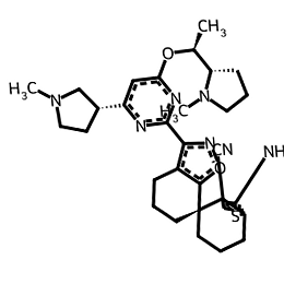 C[C@H](Oc1cc([C@@H]2CCN(C)C2)nc(-c2noc3c2CCC[C@@]32CCCc3sc(N)c(C#N)c32)n1)[C@@H]1CCCN1C